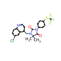 CC1(C)C(=O)N(c2ccc(SC(F)(F)F)cc2)C(=O)N1Cc1ccnc2ccc(Cl)cc12